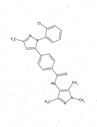 Cc1nn(C)c(C)c1NC(=O)c1ccc(-c2cc(C(F)(F)F)nn2-c2ccccc2Cl)cc1